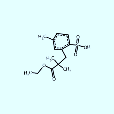 CCOC(=O)C(C)(C)Cc1cc(C)ccc1S(=O)(=O)O